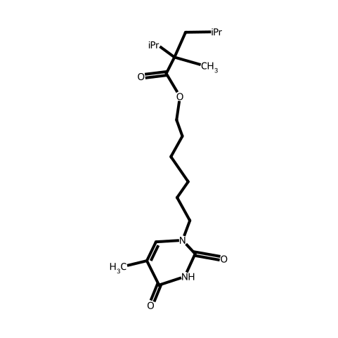 Cc1cn(CCCCCCOC(=O)C(C)(CC(C)C)C(C)C)c(=O)[nH]c1=O